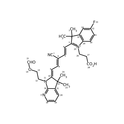 CC1(C)C(/C=C/C(C#N)=C/C=C2/N(CCOC=O)c3ncccc3C2(C)C)=[N+](CCC(=O)O)c2ccc(F)cc21